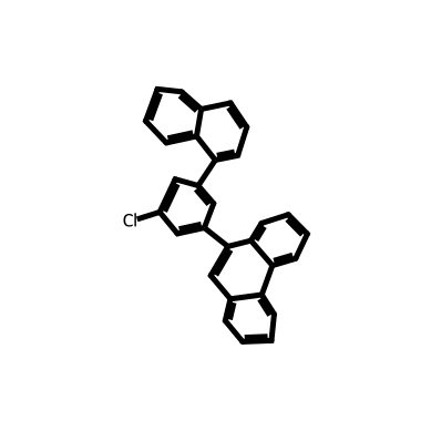 Clc1cc(-c2cccc3ccccc23)cc(-c2cc3ccccc3c3ccccc23)c1